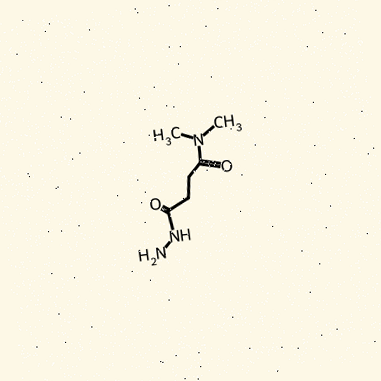 CN(C)C(=O)CCC(=O)NN